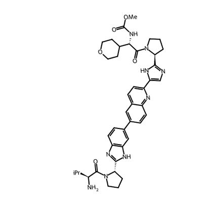 COC(=O)N[C@H](C(=O)N1CCC[C@H]1c1ncc(-c2ccc3cc(-c4ccc5nc([C@@H]6CCCN6C(=O)[C@@H](N)C(C)C)[nH]c5c4)ccc3n2)[nH]1)C1CCOCC1